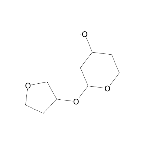 [O]C1CCOC(OC2CCOC2)C1